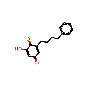 O=C1C=C(O)C(=O)C(CCCCc2ccccc2)=C1